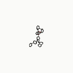 c1ccc(-c2ccc(N(c3ccc(-c4ccc5c(c4)-c4c6cccc4-c4cccc-5c4-c4ccccc4-6)cc3)c3cccc4ccccc34)cc2)cc1